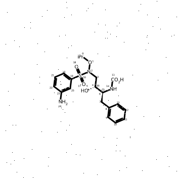 CC(C)ON(C[C@@H](O)[C@H](Cc1ccccc1)NC(=O)O)S(=O)(=O)c1cccc(N)c1